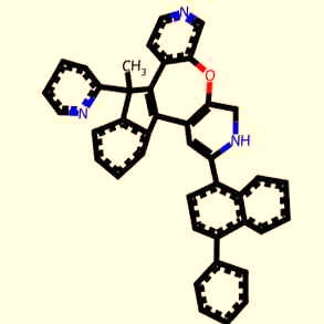 CC1(c2ccccn2)C2=C(C3=C(CNC(c4ccc(-c5ccccc5)c5ccccc45)=C3)Oc3cnccc32)c2ccccc21